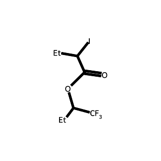 CCC(I)C(=O)OC(CC)C(F)(F)F